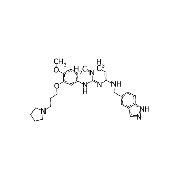 C=N/C(=N\C(=C/C)NCc1ccc2[nH]ncc2c1)Nc1ccc(OC)c(OCCCN2CCCC2)c1